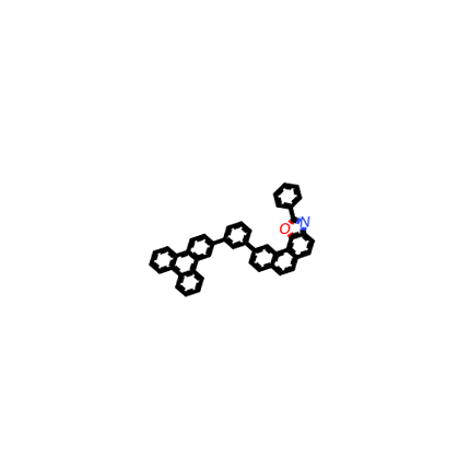 c1ccc(-c2nc3ccc4ccc5ccc(-c6cccc(-c7ccc8c9ccccc9c9ccccc9c8c7)c6)cc5c4c3o2)cc1